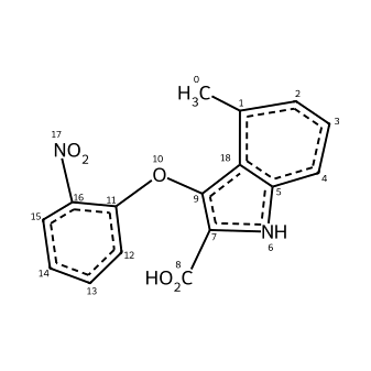 Cc1cccc2[nH]c(C(=O)O)c(Oc3ccccc3[N+](=O)[O-])c12